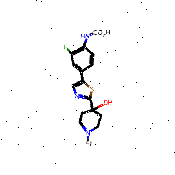 CCN1CCC(O)(c2ncc(-c3ccc(NC(=O)O)c(F)c3)s2)CC1